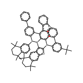 CC(C)(C)c1ccc(N2c3cc4sc5ccccc5c4c4c3B(c3c2oc2cc5c(cc32)C(C)(C)CCC5(C)C)N(c2ccc3c(c2)C(C)(C)CCC3(C)C)c2ccc(-c3ccccc3)cc2-4)c(-c2ccccc2)c1